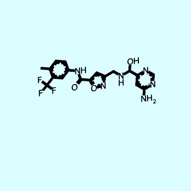 Cc1ccc(NC(=O)c2cc(CNC(O)c3cc(N)ncn3)no2)cc1C(F)(F)F